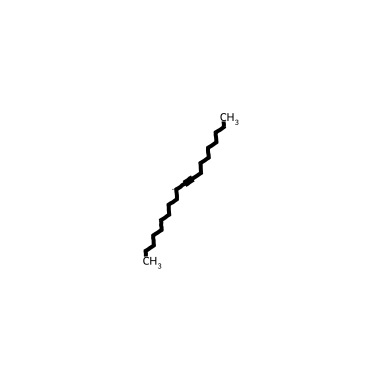 CCCCCCCCC#C[CH]CCCCCCCCC